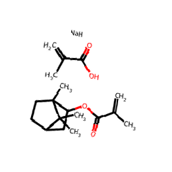 C=C(C)C(=O)O.C=C(C)C(=O)OC1CC2CCC1(C)C2(C)C.[NaH]